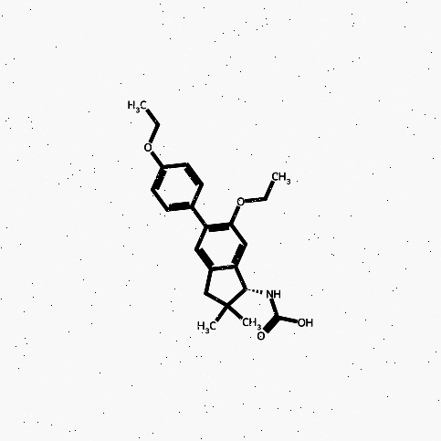 CCOc1ccc(-c2cc3c(cc2OCC)[C@H](NC(=O)O)C(C)(C)C3)cc1